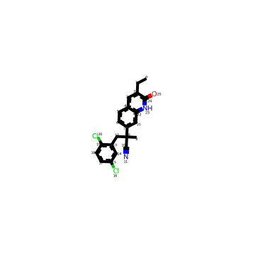 CCc1cc2ccc(C(C)(C#N)Cc3cc(Cl)ccc3Cl)cc2[nH]c1=O